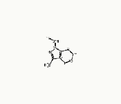 Bc1nn(PI)c2c1COCC2